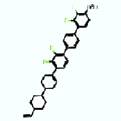 C=CC1CCC(C2CC=C(c3ccc(-c4ccc(-c5ccc(CCCC)c(F)c5F)cc4)c(F)c3F)CC2)CC1